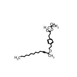 CCCCCCCCCCC#C[C@H](C)OCCc1ccc(CCC(=O)OC(C)(C)C)cc1